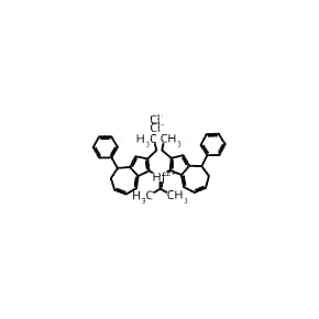 CCC1=[C]([Hf+2]([C]2=C(CC)C=C3C2=CC=CCC3c2ccccc2)=[C](C)C)C2=CC=CCC(c3ccccc3)C2=C1.[Cl-].[Cl-]